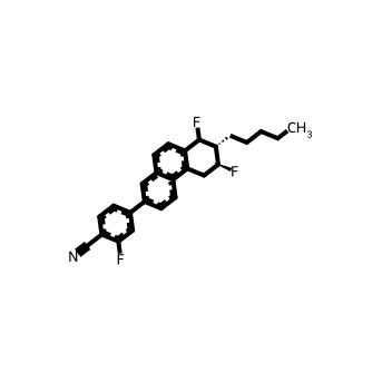 CCCCC[C@H]1C(F)c2ccc3cc(-c4ccc(C#N)c(F)c4)ccc3c2C[C@@H]1F